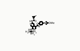 BC(B)(B)Nc1ncc(-c2nc3cc(N4CC(OC)C4)ccc3o2)c2cc(NC(=O)[C@H]3C[C@H]3C)ncc12